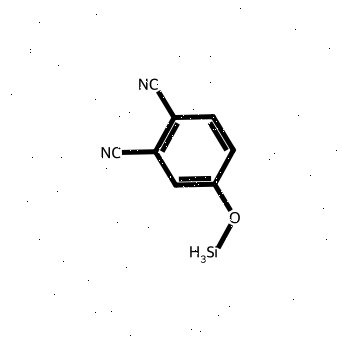 N#Cc1ccc(O[SiH3])cc1C#N